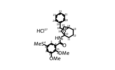 COc1cc(SC)cc(C(=O)NC23CCCC(CC2)N3Cc2ccccc2)c1OC.Cl